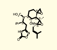 CO[C@@H]1[C@H](N(C(=O)O)[C@@H](Cc2noc(=O)[nH]2)C(C)C)CC[C@]2(CO2)[C@H]1[C@@]1(C)O[C@@H]1CC=C(C)C